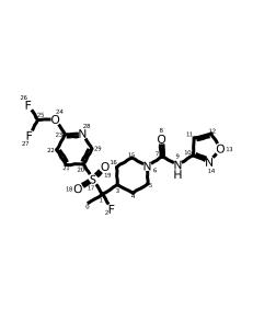 CC(F)(C1CCN(C(=O)Nc2ccon2)CC1)S(=O)(=O)c1ccc(OC(F)F)nc1